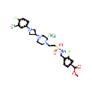 COC(=O)c1ccc(CNS(=O)(=O)CCN2CCN(C3CN(c4ccc(F)c(Cl)c4)C3)CC2)c(F)c1.Cl